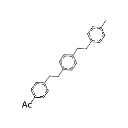 CC(=O)c1ccc(CCc2ccc(CCc3ccc(C)cc3)cc2)cc1